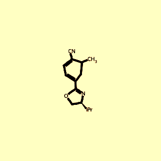 CC1CC(C2=N[C@@H](C(C)C)CO2)=CC=C1C#N